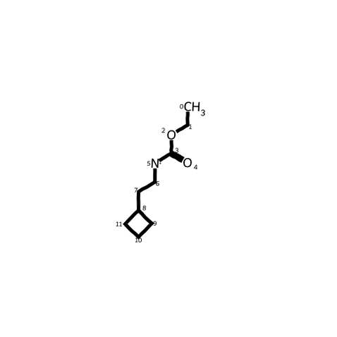 CCOC(=O)[N]CCC1CCC1